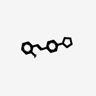 Fc1ccccc1C=Cc1ccc(C2CCCC2)cc1